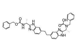 C[C@H](c1nc2cc(CCc3ccc4nc([C@@H](C)NC(=O)OCc5ccccc5)[nH]c4c3)ccc2[nH]1)N(Cc1ccccc1)C(=O)O